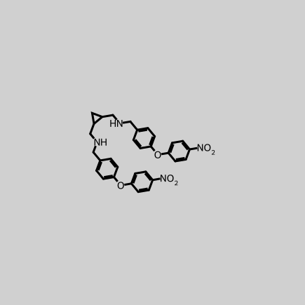 O=[N+]([O-])c1ccc(Oc2ccc(CNCC3CC3CNCc3ccc(Oc4ccc([N+](=O)[O-])cc4)cc3)cc2)cc1